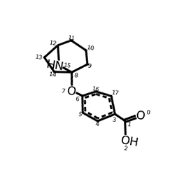 O=C(O)c1ccc(OC23CCCC(CC2)N3)cc1